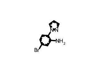 Nc1cc(Br)ccc1-n1cccn1